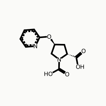 O=C(O)[C@H]1C[C@H](Oc2ccccn2)CN1C(=O)O